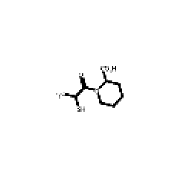 O=C(O)C1CCCCN1C(=O)C(S)C(F)(F)F